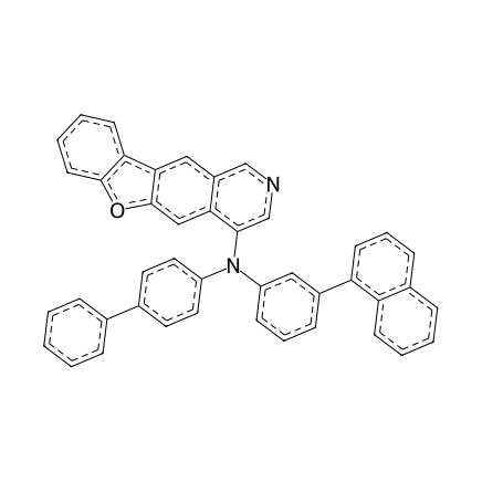 c1ccc(-c2ccc(N(c3cccc(-c4cccc5ccccc45)c3)c3cncc4cc5c(cc34)oc3ccccc35)cc2)cc1